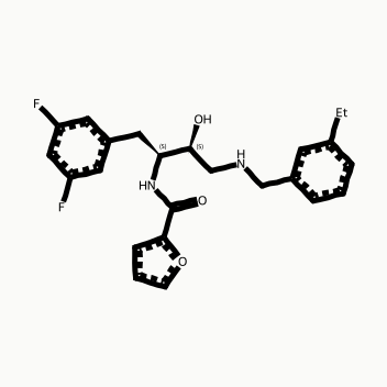 CCc1cccc(CNC[C@H](O)[C@H](Cc2cc(F)cc(F)c2)NC(=O)c2ccco2)c1